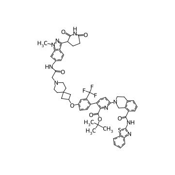 Cn1nc(C2CCC(=O)NC2=O)c2ccc(NC(=O)CN3CCC4(CC3)CC(Oc3ccc(-c5ccc(N6CCc7cccc(C(=O)Nc8nc9ccccc9s8)c7C6)nc5C(=O)OC(C)(C)C)c(C(F)(F)F)c3)C4)cc21